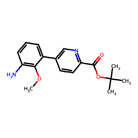 COc1c(N)cccc1-c1ccc(C(=O)OC(C)(C)C)nc1